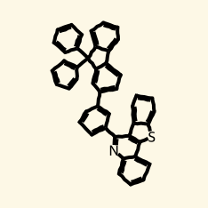 c1ccc(C2(c3ccccc3)c3ccccc3-c3ccc(-c4cccc(-c5nc6ccccc6c6sc7ccccc7c56)c4)cc32)cc1